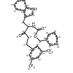 O=C(NC(Cc1c[nH]c2ccccc12)C(=O)CCc1cc(C(F)(F)F)cc(C(F)(F)F)c1)OCc1cccnc1